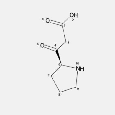 O=C(O)CC(=O)[C@@H]1CCCN1